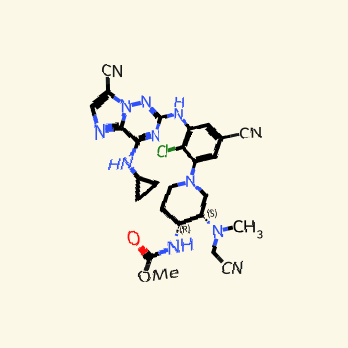 COC(=O)N[C@@H]1CCN(c2cc(C#N)cc(Nc3nc(NC4CC4)c4ncc(C#N)n4n3)c2Cl)C[C@@H]1N(C)CC#N